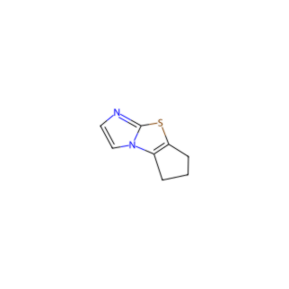 c1cn2c3c(sc2n1)CCC3